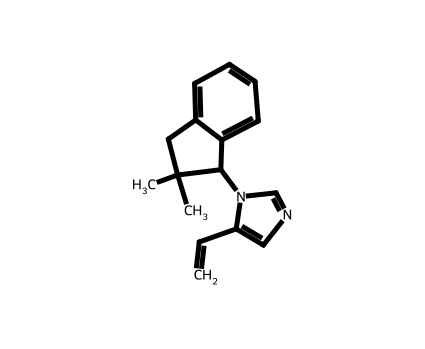 C=Cc1cncn1C1c2ccccc2CC1(C)C